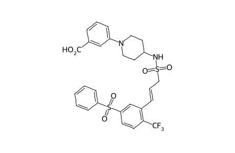 O=C(O)c1cccc(N2CCC(NS(=O)(=O)CC=Cc3cc(S(=O)(=O)c4ccccc4)ccc3C(F)(F)F)CC2)c1